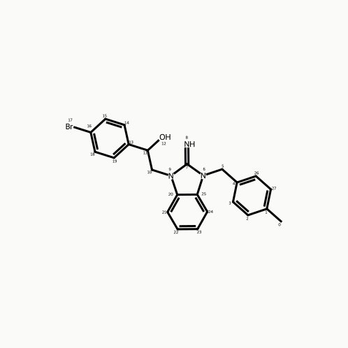 Cc1ccc(Cn2c(=N)n(CC(O)c3ccc(Br)cc3)c3ccccc32)cc1